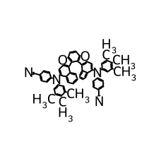 Cc1cc(N(c2ccc(C#N)cc2)c2cc3oc4ccc5oc6cc(N(c7ccc(C#N)cc7)c7cc(C)c(C)c(C)c7)c7ccccc7c6c5c4c3c3ccccc23)cc(C)c1C